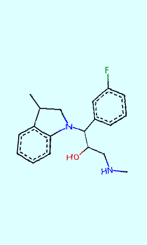 CNCC(O)C(c1cccc(F)c1)N1CC(C)c2ccccc21